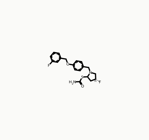 NC(=O)SC1C[C@@H](F)CN1Cc1ccc(OCc2cccc(F)c2)cc1